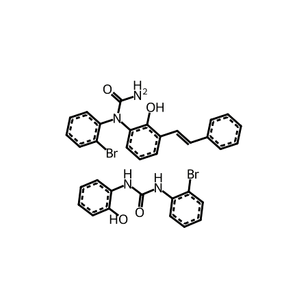 NC(=O)N(c1ccccc1Br)c1cccc(C=Cc2ccccc2)c1O.O=C(Nc1ccccc1O)Nc1ccccc1Br